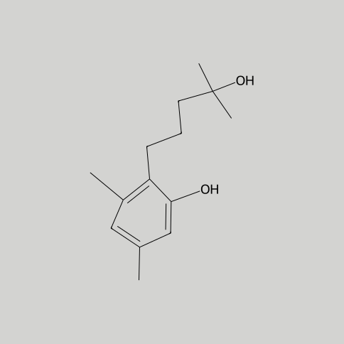 Cc1cc(C)c(CCCC(C)(C)O)c(O)c1